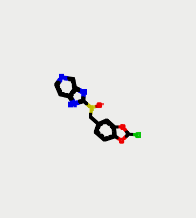 [O-][S+](Cc1ccc2c(c1)OC(Cl)O2)c1nc2cnccc2[nH]1